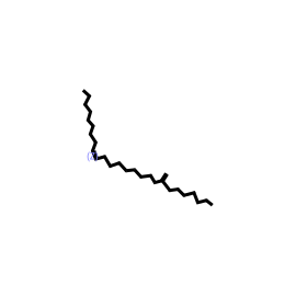 C=C(CCCCCCC)CCCCCCCC/C=C\CCCCCCCC